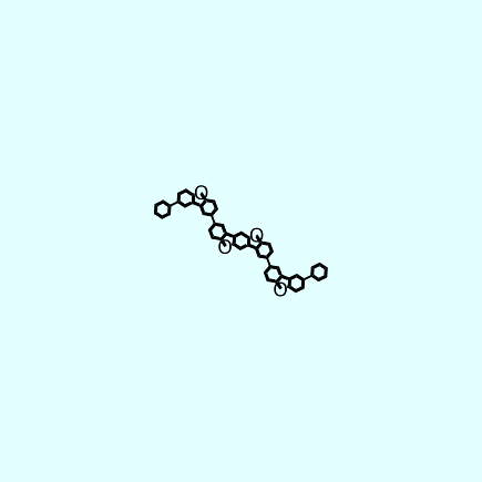 c1ccc(-c2ccc3oc4ccc(-c5ccc6oc7cc8c(cc7c6c5)oc5ccc(-c6ccc7oc9ccc(-c%10ccccc%10)cc9c7c6)cc58)cc4c3c2)cc1